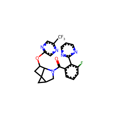 O=C(c1cccc(F)c1-c1ncccn1)N1CC2CC23CC(Oc2cnc(C(F)(F)F)cn2)C13